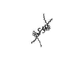 CCCCCCCCC(CCCCCC)C(=O)Cc1cc(-c2cc(CC(=O)C(CCCCCC)CCCCCCCC)c(Br)s2)sc1Br